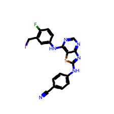 N#Cc1ccc(Nc2nc3ncnc(Nc4ccc(F)c(CI)c4)c3s2)cc1